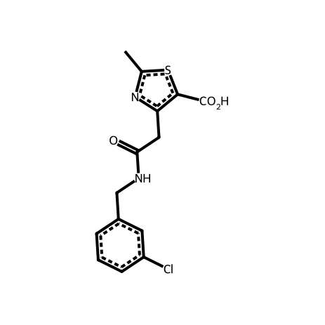 Cc1nc(CC(=O)NCc2cccc(Cl)c2)c(C(=O)O)s1